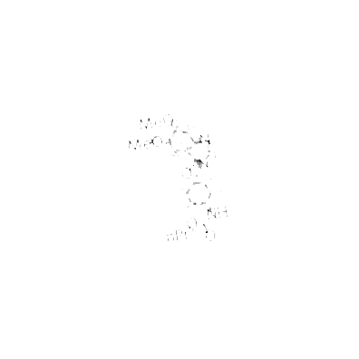 CCCOC(=O)Nc1ccc(Oc2ncnc3cc(OC)c(OC)cc23)cc1